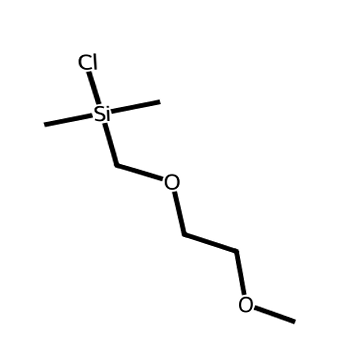 COCCOC[Si](C)(C)Cl